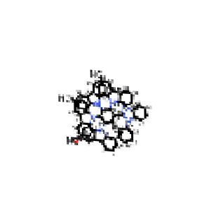 N#Cc1ccc2c(c1)c1ccccc1n2-c1c(C#N)c(-c2nc3ccccc3n2-c2ccccc2)c(-n2c3ccccc3c3cc(C#N)ccc32)c(-n2c3ccccc3c3cc(C#N)ccc32)c1-n1c2ccccc2c2cc(C#N)ccc21